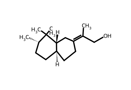 C/C(CO)=C1/CC[C@H]2CC[C@H](C)C(C)(C)[C@@H]2C1